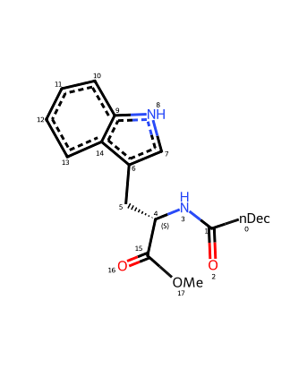 CCCCCCCCCCC(=O)N[C@@H](Cc1c[nH]c2ccccc12)C(=O)OC